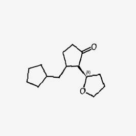 O=C1CCC(CC2CCCC2)C1[C@H]1CCCO1